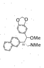 CNC[C@H](c1ccc2ccccc2c1)C(OC)c1ccc2c(c1)OCO2